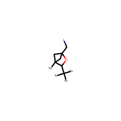 [2H]C([2H])([2H])C1OC2(CI)CC1([2H])C2